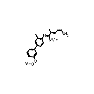 CNC(=N\c1ccc(-c2cccc(OOC)c2)cc1C)/C(C)=C/C=C\N